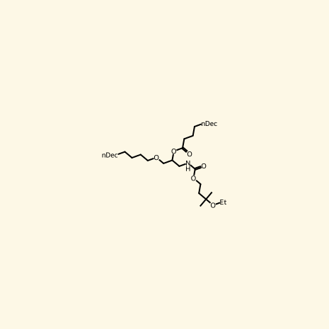 CCCCCCCCCCCCCCOCC(CNC(=O)OCCC(C)(C)OCC)OC(=O)CCCCCCCCCCCCC